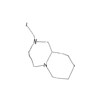 IN1CCN2CCCCC2C1